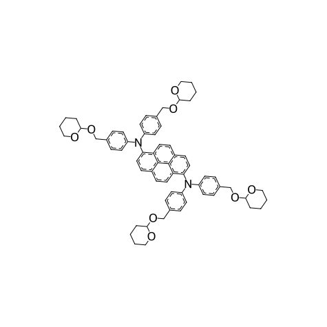 c1cc(N(c2ccc(COC3CCCCO3)cc2)c2ccc3ccc4c(N(c5ccc(COC6CCCCO6)cc5)c5ccc(COC6CCCCO6)cc5)ccc5ccc2c3c54)ccc1COC1CCCCO1